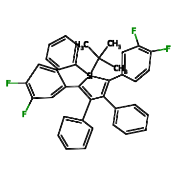 CC(C)(C)[Si]1(c2ccccc2)C(c2ccc(F)c(F)c2)=C(c2ccccc2)C(c2ccccc2)=C1c1ccc(F)c(F)c1